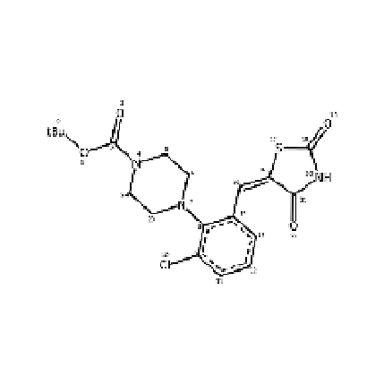 CC(C)(C)OC(=O)N1CCN(c2c(Cl)cccc2C=C2SC(=O)NC2=O)CC1